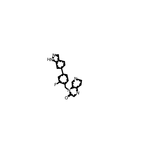 O=c1cnc2ccncc2n1Cc1ccc(-c2ccc3cn[nH]c3c2)cc1F